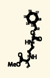 COC(=O)[C@H](C)NCCNC(=O)OCc1ccccc1